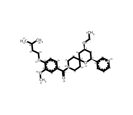 CCO[C@H]1C[C@@H](c2cccnc2)OC2(CCN(C(=O)c3ccc(OCCC(C)C)c(OC)c3)CC2)C1